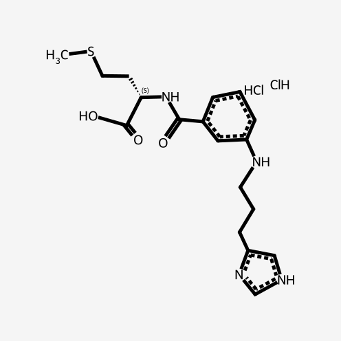 CSCC[C@H](NC(=O)c1cccc(NCCCc2c[nH]cn2)c1)C(=O)O.Cl.Cl